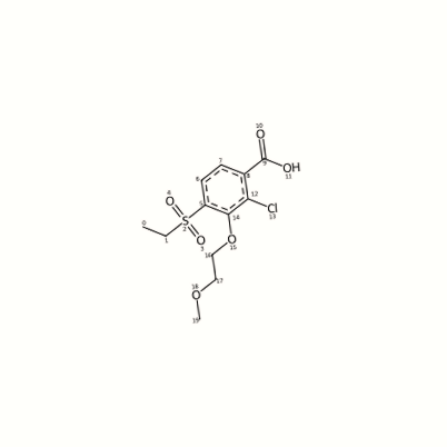 CCS(=O)(=O)c1ccc(C(=O)O)c(Cl)c1OCCOC